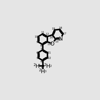 [2H]C([2H])([2H])c1ccc(-c2cccc3c2oc2ncccc23)cc1